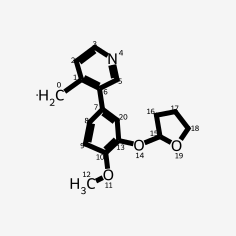 [CH2]c1ccncc1-c1ccc(OC)c(OC2CCCO2)c1